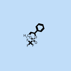 C=CC(OS(=O)(=O)C(F)(F)F)c1ccccc1